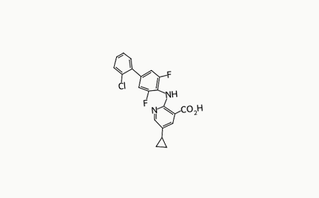 O=C(O)c1cc(C2CC2)cnc1Nc1c(F)cc(-c2ccccc2Cl)cc1F